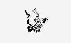 CCCCOCCCC1(c2ccccc2F)CS(=O)(=O)N(C)C(N(COCCOC)C(=O)OC(C)(C)C)=N1